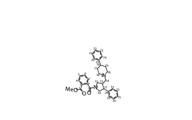 COC(=O)c1ccccc1C(=O)N1CC(CN2CCC(c3ccccc3)CC2)C(c2ccccc2)C1